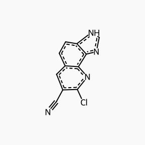 N#Cc1cc2ccc3[nH]cnc3c2nc1Cl